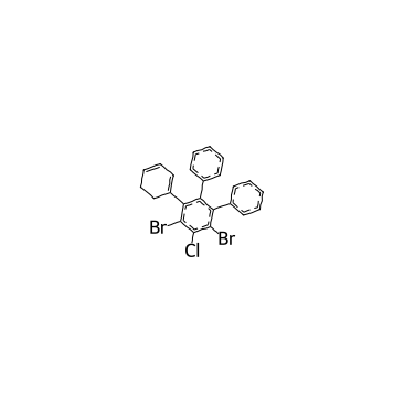 Clc1c(Br)c(C2=CC=CCC2)c(-c2ccccc2)c(-c2ccccc2)c1Br